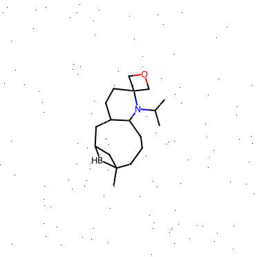 CC(C)N1C2CCCC3(C)BC(CC2CCC12COC2)C3